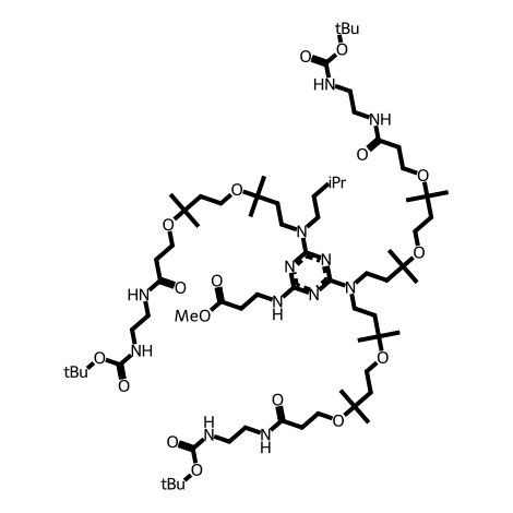 COC(=O)CCNc1nc(N(CCC(C)C)CCC(C)(C)OCCC(C)(C)OCCC(=O)NCCNC(=O)OC(C)(C)C)nc(N(CCC(C)(C)OCCC(C)(C)OCCC(=O)NCCNC(=O)OC(C)(C)C)CCC(C)(C)OCCC(C)(C)OCCC(=O)NCCNC(=O)OC(C)(C)C)n1